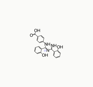 N=C(/N=C(\Nc1ccc(C(=O)O)cc1)c1ccccc1O)c1ccccc1O